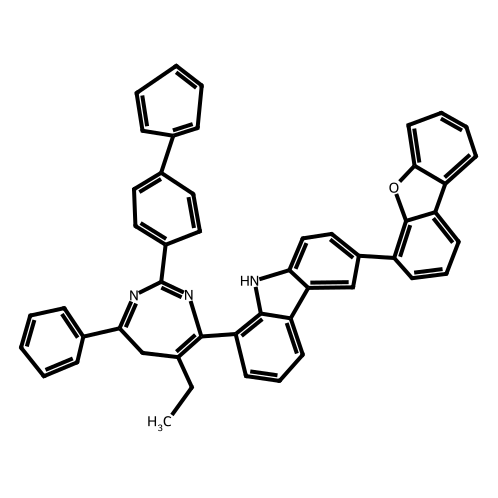 CCC1=C(c2cccc3c2[nH]c2ccc(-c4cccc5c4oc4ccccc45)cc23)N=C(c2ccc(-c3ccccc3)cc2)N=C(c2ccccc2)C1